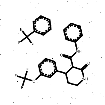 FC(F)(F)c1ccccc1.O=C1NCCC(c2cccc(OC(F)(F)F)c2)C1C(=O)Nc1ccccc1